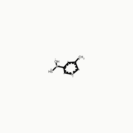 Cc1cncc(B(O)S)c1